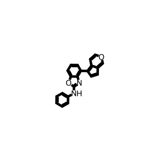 c1ccc(Nc2nc3c(-c4ccc5coccc4-5)cccc3o2)cc1